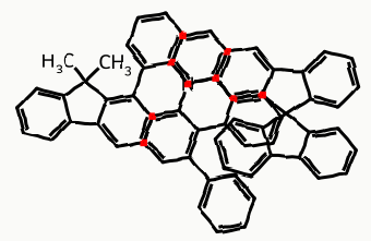 CC1(C)c2ccccc2-c2cccc(-c3ccccc3N(c3ccc4c(c3)C3(c5ccccc5-c5ccccc53)c3ccccc3-4)c3cccc(-c4ccccc4)c3-c3ccccc3-c3ccccc3)c21